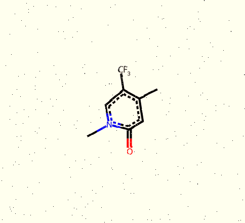 Cc1cc(=O)n(C)cc1C(F)(F)F